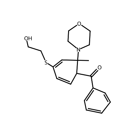 CC1(N2CCOCC2)C=C(SCCO)C=CC1C(=O)c1ccccc1